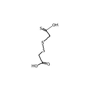 O=C(O)CSSCC(O)=S